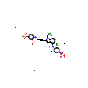 COc1cc(S(C)(=O)=O)ccc1NCC#Cc1cc2c(N[C@H]3CCN(C(=O)O)C[C@H]3F)cccc2n1CC(F)(F)F